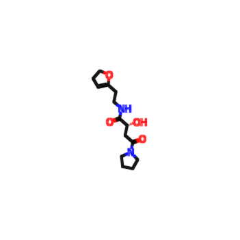 O=C(NCCC1=CCCO1)[C@H](O)CC(=O)N1CCCC1